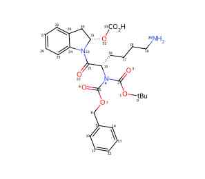 CC(C)(C)OC(=O)N(C(=O)OCc1ccccc1)[C@@H](CCCCN)C(=O)N1c2ccccc2C[C@@H]1OC(=O)O